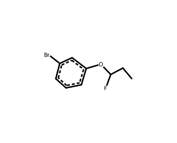 CCC(F)Oc1cccc(Br)c1